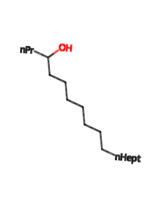 [CH2]CCC(O)CCCCCCCCCCCCCC